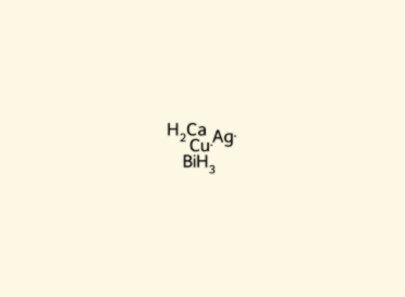 [Ag].[BiH3].[CaH2].[Cu]